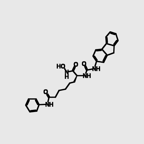 O=C(CCCCC[C@H](NC(=O)Nc1ccc2c(c1)Cc1ccccc1-2)C(=O)NO)Nc1ccccc1